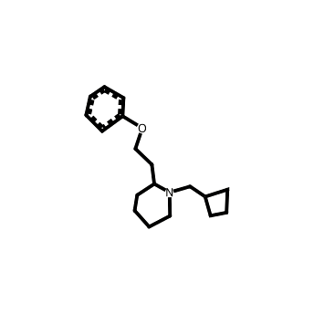 c1ccc(OCCC2CCCCN2CC2CCC2)cc1